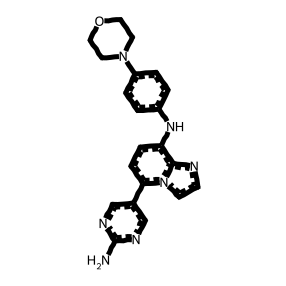 Nc1ncc(-c2ccc(Nc3ccc(N4CCOCC4)cc3)c3nccn23)cn1